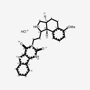 COc1cccc2c1CC[C@@H]1CNC(CCn3c(=O)[nH]c4c(sc5ccccc54)c3=O)[C@@H]21.Cl